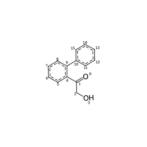 O=C(CO)c1ccccc1-c1ccccc1